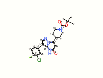 CC(C)(C)OC(=O)N1CCC(c2cc(=O)[nH]c3c(-c4ccc(F)c(Cl)c4)cnn23)CC1